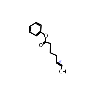 C/C=C/CCCC(=O)Oc1ccccc1